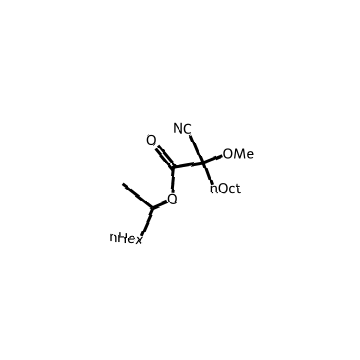 CCCCCCCCC(C#N)(OC)C(=O)OC(C)CCCCCC